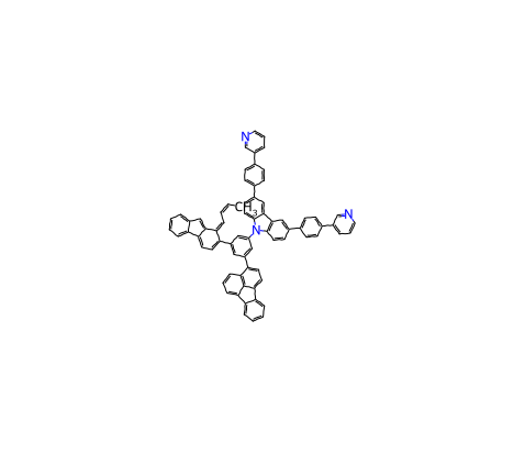 C/C=C\C=c1\c(-c2cc(-c3ccc4c5c(cccc35)-c3ccccc3-4)cc(-n3c4ccc(-c5ccc(-c6cccnc6)cc5)cc4c4cc(-c5ccc(-c6cccnc6)cc5)ccc43)c2)ccc2c1=Cc1ccccc1-2